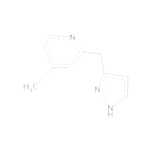 Cc1ccnc(Cc2cc[nH]n2)c1